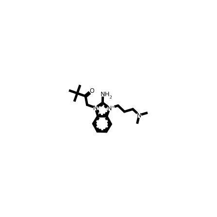 CN(C)CCC[n+]1c(N)n(CC(=O)C(C)(C)C)c2ccccc21